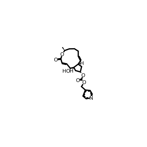 C[C@H]1CCC/C=C/[C@@H]2C[C@H](OC(=O)OCc3ccncc3)C[C@H]2[C@H](O)/C=C/C(=O)O1